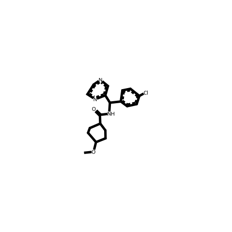 COC1CCC(C(=O)NC(c2ccc(Cl)cc2)c2cnccn2)CC1